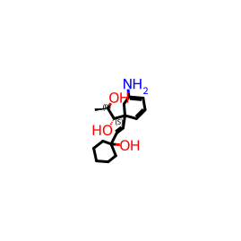 C[C@@H](O)[C@@H](O)C1(C=CC2(O)CCCCC2)C=CC=C(N)C1